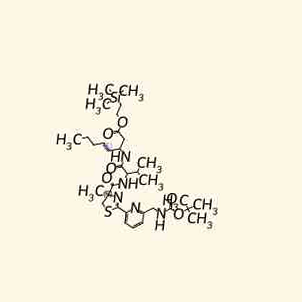 CCC/C=C/C(CC(=O)OCC[Si](C)(C)C)NC(=O)C(NC(=O)[C@]1(C)CSC(c2cccc(CNC(=O)OC(C)(C)C)n2)=N1)C(C)C